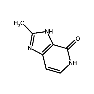 Cc1nc2cc[nH]c(=O)c2[nH]1